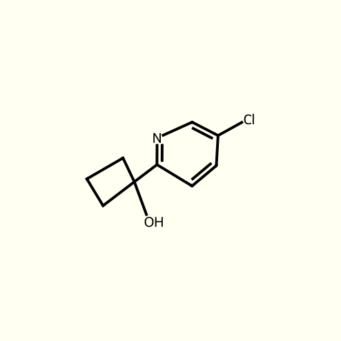 OC1(c2ccc(Cl)cn2)CCC1